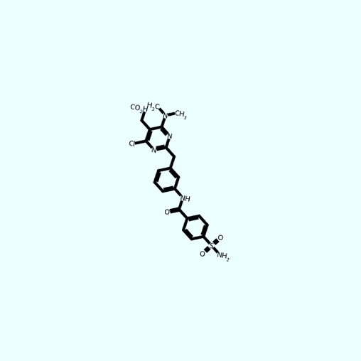 CN(C)c1nc(Cc2cccc(NC(=O)c3ccc(S(N)(=O)=O)cc3)c2)nc(Cl)c1CC(=O)O